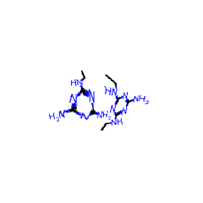 CCNc1nc(N)nc(N)n1.CCNc1nc(N)nc(NCC)n1